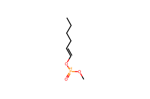 CCCCC=CO[PH](=O)OC